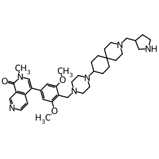 COc1cc(-c2cn(C)c(=O)c3cnccc23)cc(OC)c1CN1CCN(C2CCC3(CC2)CCN(CC2CCNC2)CC3)CC1